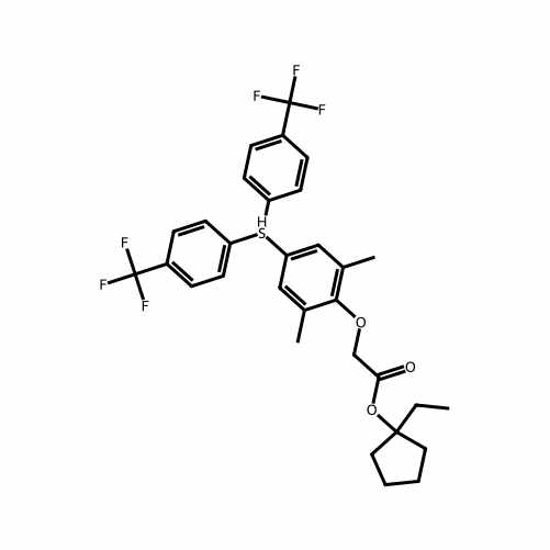 CCC1(OC(=O)COc2c(C)cc([SH](c3ccc(C(F)(F)F)cc3)c3ccc(C(F)(F)F)cc3)cc2C)CCCC1